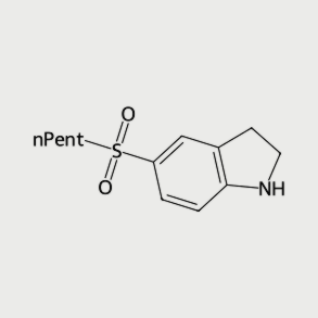 CCCCCS(=O)(=O)c1ccc2c(c1)CCN2